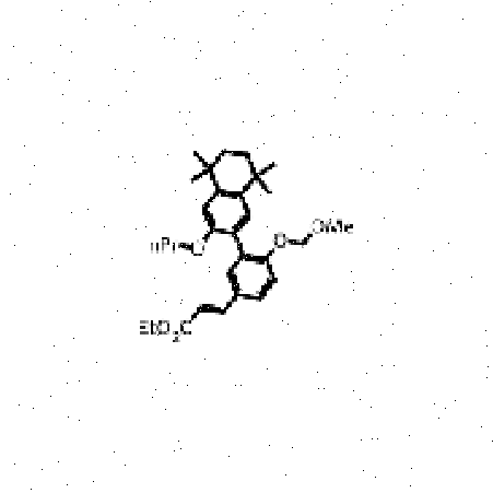 CCCOc1cc2c(cc1-c1cc(C=CC(=O)OCC)ccc1OCOC)C(C)(C)CCC2(C)C